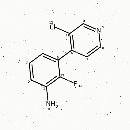 Nc1cccc(-c2ccncc2Cl)c1F